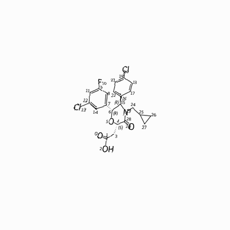 O=C(O)C[C@@H]1O[C@H](c2cc(F)cc(Cl)c2)[C@@H](c2ccc(Cl)cc2)N(CC2CC2)C1=O